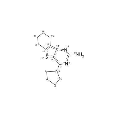 Nc1nc(N2CCCC2)c2sc3c(c2n1)CCCC3